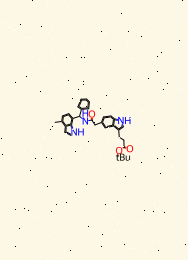 Cc1ccc(C(NC(=O)Cc2ccc3[nH]cc(CCC(=O)OC(C)(C)C)c3c2)c2ccccc2)c2[nH]ccc12